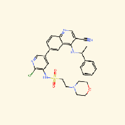 CC(Nc1c(C#N)cnc2ccc(-c3cnc(Cl)c(NS(=O)(=O)CCN4CCOCC4)c3)cc12)c1ccccc1